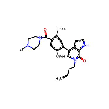 C=CCCn1cc(-c2cc(OC)c(C(=O)N3CCN(CC)CC3)cc2OC)c2cc[nH]c2c1=O